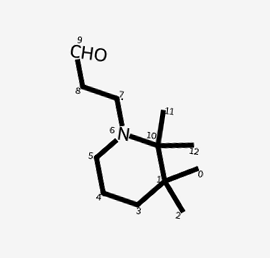 CC1(C)CCCN([CH]CC=O)C1(C)C